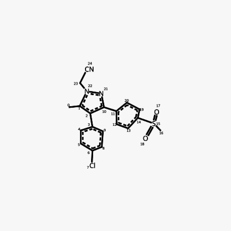 Cc1c(-c2ccc(Cl)cc2)c(-c2ccc(S(C)(=O)=O)cc2)nn1CC#N